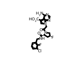 Nc1ncnc2c1c(C(=O)O)cn2CC(=O)N1C[C@H](F)C[C@H]1C(=O)NCc1cccc(Cl)c1F